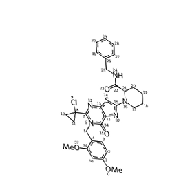 COc1ccc(Cn2c(C3(Cl)CC3)nc3sc(N4CCCC[C@@H]4C(=O)NCc4ccccc4)nc3c2=O)c(OC)c1